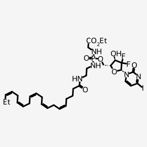 CC/C=C\C/C=C\C/C=C\C/C=C\C/C=C\CCCC(=O)NCCNP(=O)(NCC(=O)OCC)OC[C@H]1O[C@@H](n2ccc(I)nc2=O)C(F)(F)[C@@H]1O